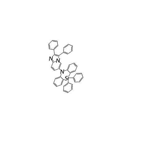 c1ccc(-c2nc3ccc(N4c5ccccc5[Si](c5ccccc5)(c5ccccc5)c5ccccc54)cn3c2-c2ccccc2)cc1